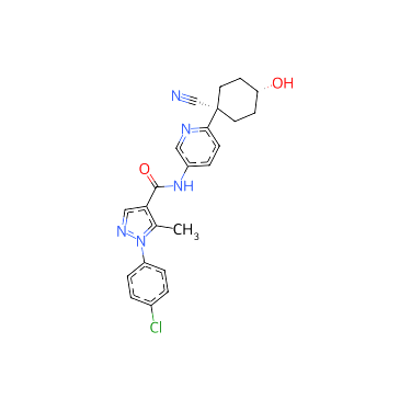 Cc1c(C(=O)Nc2ccc([C@]3(C#N)CC[C@@H](O)CC3)nc2)cnn1-c1ccc(Cl)cc1